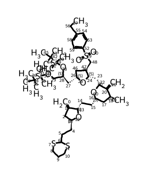 C=C1C[C@H](CCC2SCCCS2)O[C@H]1CC[C@H]1C[C@H](C)C(=C)[C@@H](C[C@@H]2O[C@H](C[C@@H](CO[Si](C)(C)C(C)(C)C)O[Si](C)(C)C(C)(C)C)C[C@H]2CS(=O)(=O)c2ccc(CC)cc2)O1